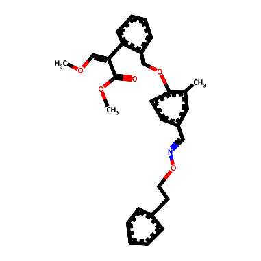 COC=C(C(=O)OC)c1ccccc1COc1ccc(C=NOCCc2ccccc2)cc1C